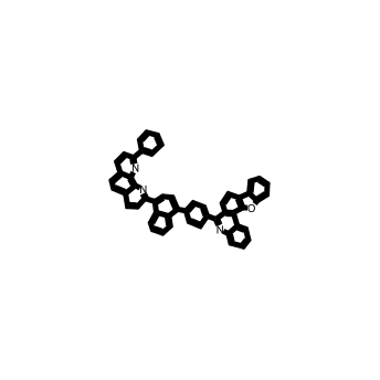 c1ccc(-c2ccc3ccc4ccc(-c5ccc(-c6ccc(-c7nc8ccccc8c8c7ccc7c9ccccc9oc78)cc6)c6ccccc56)nc4c3n2)cc1